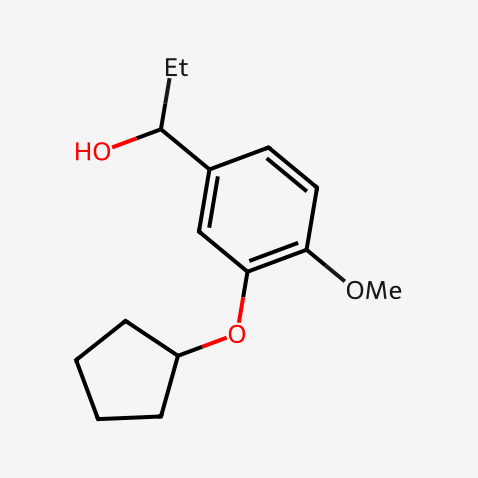 CCC(O)c1ccc(OC)c(OC2CCCC2)c1